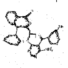 CC(Nc1ncnc(N)c1C(=N)c1cncc(O)c1)c1oc(=O)c2ccccc2c1-c1ccccc1